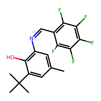 Cc1cc(/N=C\c2c(F)c(F)c(F)c(F)c2F)c(O)c(C(C)(C)C)c1